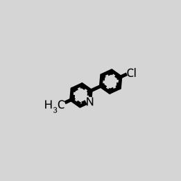 Cc1ccc(-c2ccc(Cl)cc2)nc1